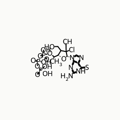 C#CC1(Cl)C(CO)[C@@H]([C@@H](C)OP(=O)(O)OP(=O)(O)OP(=O)(O)O)O[C@H]1n1cnc2c(=S)[nH]c(N)nc21